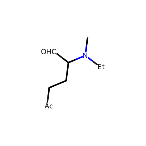 CCN(C)C(C=O)CCC(C)=O